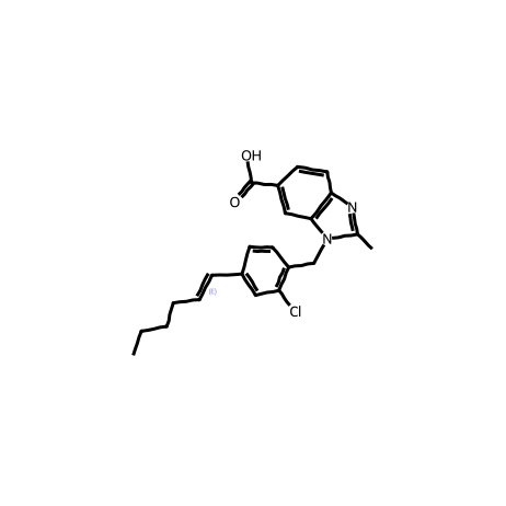 CCCC/C=C/c1ccc(Cn2c(C)nc3ccc(C(=O)O)cc32)c(Cl)c1